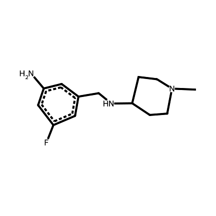 CN1CCC(NCc2cc(N)cc(F)c2)CC1